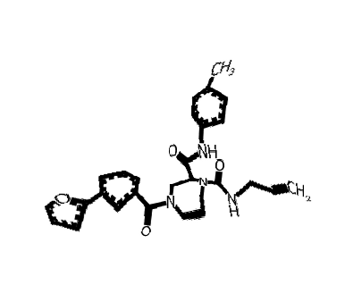 C=CCNC(=O)N1CCN(C(=O)c2cccc(-c3ccco3)c2)CC1C(=O)Nc1ccc(C)cc1